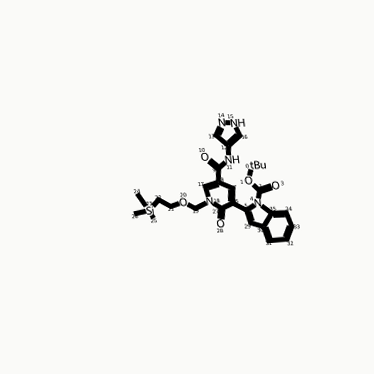 CC(C)(C)OC(=O)n1c(-c2cc(C(=O)Nc3cn[nH]c3)cn(COCC[Si](C)(C)C)c2=O)cc2ccccc21